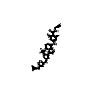 C#CCNC(=O)c1c(C)cc(Nc2nccn3c(-c4cn(Cc5nc(CC6CC6)no5)nc4C(F)(F)F)cnc23)cc1F